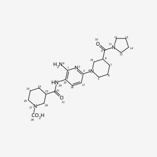 Nc1nc(N2CCCC(C(=O)N3CCCC3)C2)ccc1NC(=O)C1CCCN(C(=O)O)C1